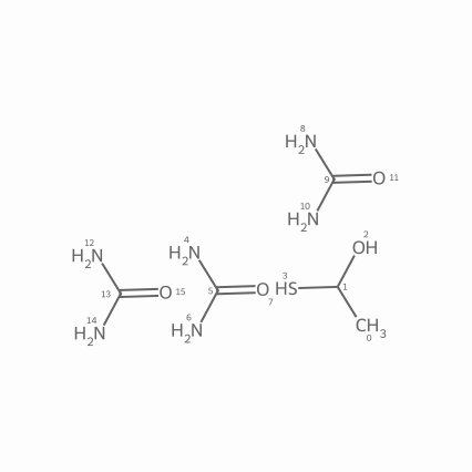 CC(O)S.NC(N)=O.NC(N)=O.NC(N)=O